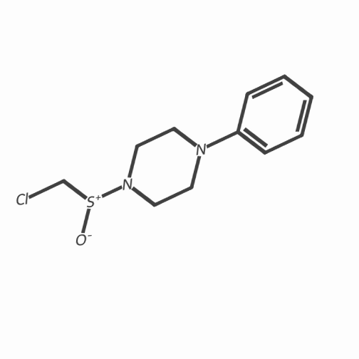 [O-][S+](CCl)N1CCN(c2ccccc2)CC1